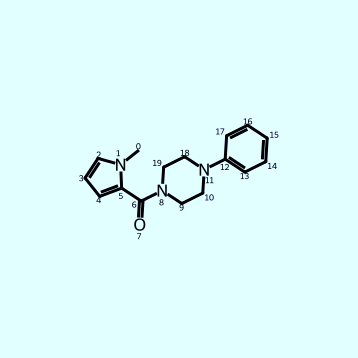 Cn1cccc1C(=O)N1CCN(c2ccccc2)CC1